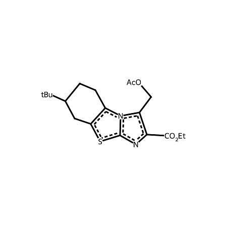 CCOC(=O)c1nc2sc3c(n2c1COC(C)=O)CCC(C(C)(C)C)C3